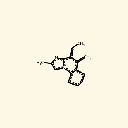 C=c1/c(=C\C)c2nc(C)cn2c2ccccc12